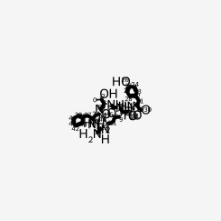 C[C@@H](O)[C@H](NC(=O)N[C@@H](CCCCNC(=N)N)C(=O)NC(Cc1ccc(O)cc1)C(=O)O)c1nc([C@@H](N)Cc2ccccc2)no1